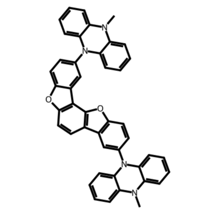 CN1c2ccccc2N(c2ccc3oc4c(ccc5oc6ccc(N7c8ccccc8N(C)c8ccccc87)cc6c54)c3c2)c2ccccc21